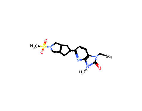 Cn1c(=O)n(CC(C)(C)C)c2ccc(C3CC4CN(S(C)(=O)=O)CC4C3)nc21